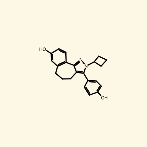 Oc1ccc(-c2c3c(nn2C2CCC2)-c2ccc(O)cc2CCC3)cc1